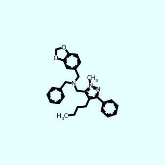 CCCCc1c(-c2ccccc2)nn(C)c1CN(Cc1ccccc1)Cc1ccc2c(c1)OCO2